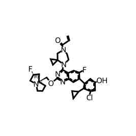 C=CC(=O)N1CCN(c2nc(OC[C@@]34CCCN3C[C@H](F)C4)nc3cc(-c4cc(O)cc(Cl)c4C4CC4)c(F)cc23)C2(CC2)C1